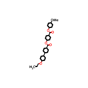 C=CCOc1ccc(-c2ccc(C(=O)Oc3ccc(C(=O)Oc4ccc(OC)cc4)cc3)cc2)cc1